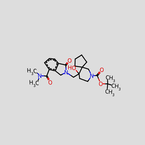 CN(C)C(=O)c1cccc2c1CN(CC1(O)CCN(C(=O)OC(C)(C)C)CC13CCCC3)C2=O